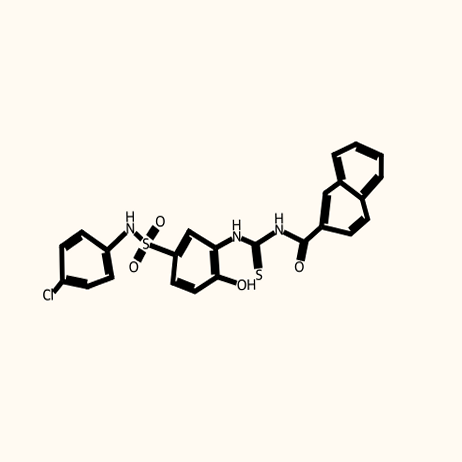 O=C(NC(=S)Nc1cc(S(=O)(=O)Nc2ccc(Cl)cc2)ccc1O)c1ccc2ccccc2c1